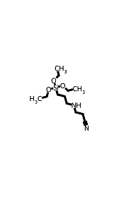 CCO[Si](CCCNCCC#N)(OCC)OCC